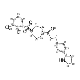 O=C(CCc1ccc(C2=NCCN2)cc1)N1CCCN(S(=O)(=O)c2cccc(Cl)c2Cl)CC1